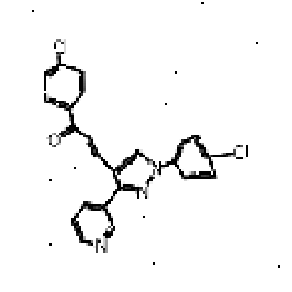 O=C(C=Cc1cn(-c2ccc(Cl)cc2)nc1-c1cccnc1)c1ccc(Cl)cc1